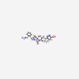 NCc1ccccc1CC(=O)NC1C(=O)N2C(C(=O)O)=C(CSc3ccc(O)nn3)CS[C@@H]12